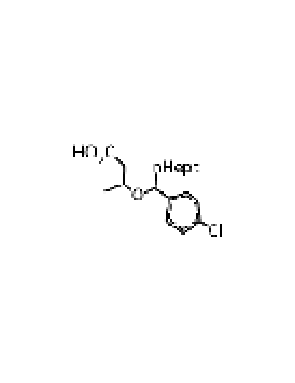 CCCCCCCC(OC(C)CC(=O)O)c1ccc(Cl)cc1